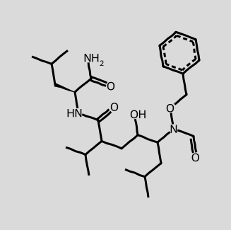 CC(C)CC(C(O)CC(C(=O)N[C@@H](CC(C)C)C(N)=O)C(C)C)N(C=O)OCc1ccccc1